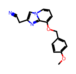 COc1ccc(COc2cccn3cc(CC#N)nc23)cc1